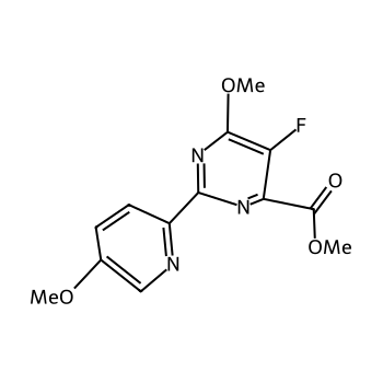 COC(=O)c1nc(-c2ccc(OC)cn2)nc(OC)c1F